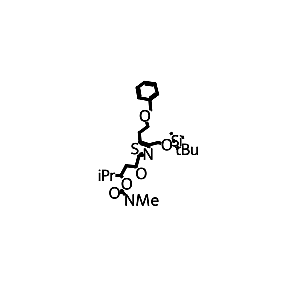 CNC(=O)OC(CC(=O)c1nc(CO[Si](C)(C)C(C)(C)C)c(CCOCc2ccccc2)s1)C(C)C